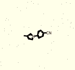 Cc1ccn(-c2ccc(C#N)cc2)c1